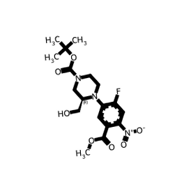 COC(=O)c1cc(N2CCN(C(=O)OC(C)(C)C)C[C@@H]2CO)c(F)cc1[N+](=O)[O-]